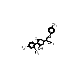 Cc1ccc(C2=C(O)CC(C(C)CSc3ccc(C(F)(F)F)cc3)CC2=O)c(C)c1